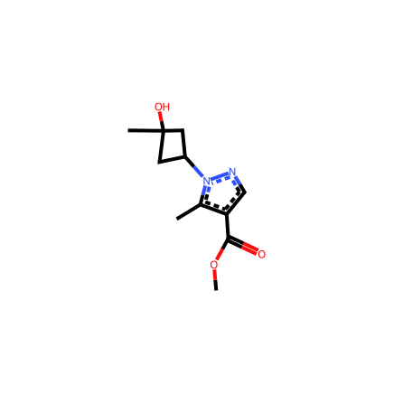 COC(=O)c1cnn(C2CC(C)(O)C2)c1C